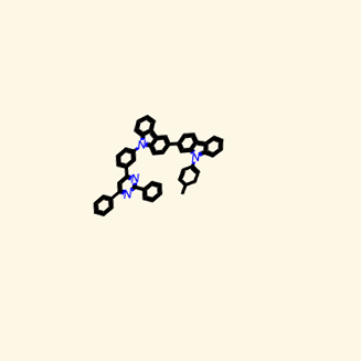 CC1C=CC(n2c3ccccc3c3ccc(-c4ccc5c(c4)c4ccccc4n5-c4cccc(-c5cc(-c6ccccc6)nc(-c6ccccc6)n5)c4)cc32)=CC1